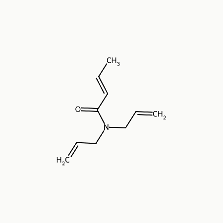 C=CCN(CC=C)C(=O)C=CC